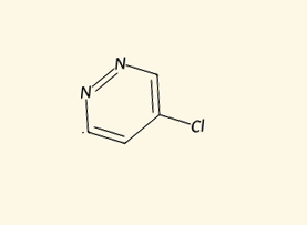 Clc1c[c]nnc1